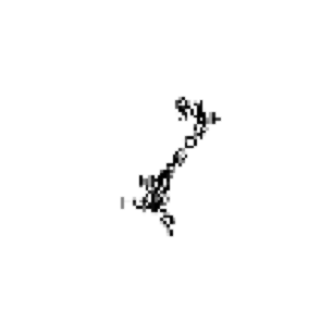 C#Cc1ccc(CNC(=O)[C@@H]2C[C@@H](O)CN2C(=O)[C@@H](NC(=O)N2CC3(CC(N4CCC([C@H]5CC[C@H](N6CCc7[nH]c8nnc(-c9ccccc9O)cc8c7[C@H]6C)CC5)CC4)C3)C2)C(C)(C)C)cc1